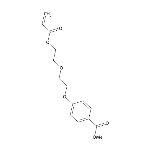 C=CC(=O)OCCOCCOc1ccc(C(=O)OC)cc1